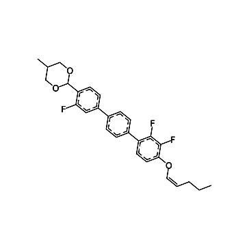 CCC/C=C\Oc1ccc(-c2ccc(-c3ccc(C4OCC(C)CO4)c(F)c3)cc2)c(F)c1F